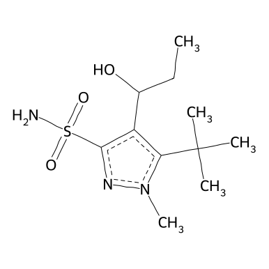 CCC(O)c1c(S(N)(=O)=O)nn(C)c1C(C)(C)C